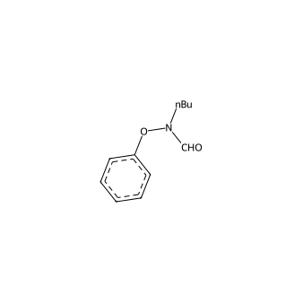 CCCCN(C=O)Oc1ccccc1